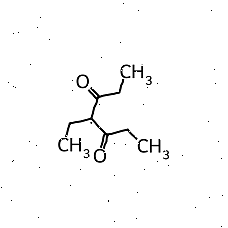 CC[C](C(=O)CC)C(=O)CC